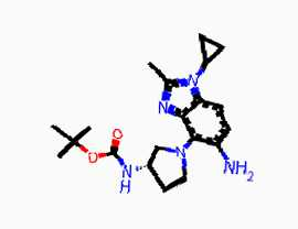 Cc1nc2c(N3CC[C@H](NC(=O)OC(C)(C)C)C3)c(N)ccc2n1C1CC1